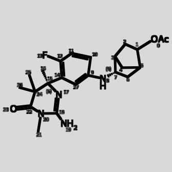 CC(=O)OC1CC2CC1C[C@@H]2Nc1ccc(F)c([C@@]2(C)N=C(N)N(C)C(=O)C2(C)C)c1